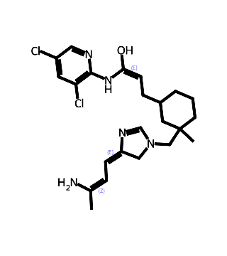 C/C(N)=C/C=C1\CN(CC2(C)CCCC(C/C=C(/O)Nc3ncc(Cl)cc3Cl)C2)C=N1